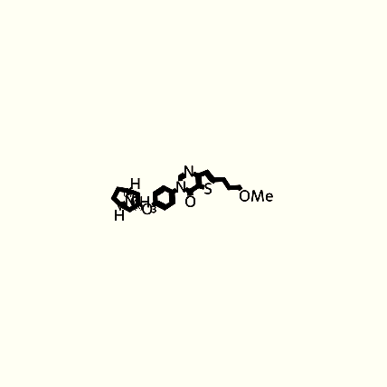 COCCCc1cc2ncn(-c3ccc(O[C@H]4C[C@H]5CC[C@@H](C4)N5C)cc3)c(=O)c2s1